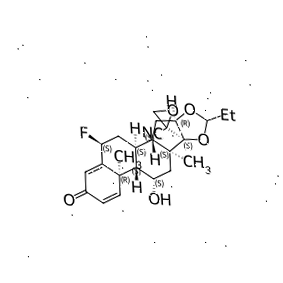 CCC1O[C@@H]2C[C@H]3[C@@H]4C[C@H](F)C5=CC(=O)C=C[C@]5(C)[C@H]4[C@@H](O)C[C@]3(C)[C@]2(C2(C#N)CO2)O1